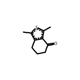 Cc1sc(C)c2c1CCCC2=O